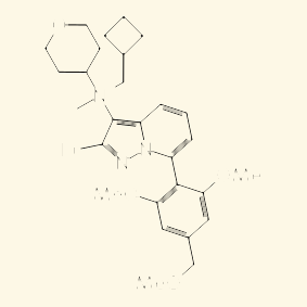 CCc1nn2c(-c3c(OC)cc(COC)cc3OC)cccc2c1[N+](C)(CC1CCC1)C1CCOCC1